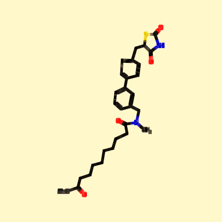 COC(=O)CCCCCCCCC(=O)N(C)Cc1cccc(-c2ccc(CC3SC(=O)NC3=O)cc2)c1